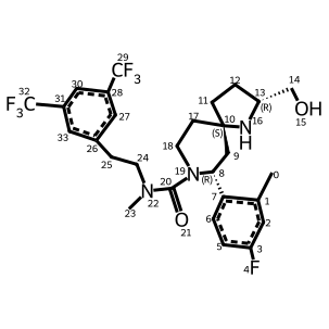 Cc1cc(F)ccc1[C@H]1C[C@]2(CC[C@H](CO)N2)CCN1C(=O)N(C)CCc1cc(C(F)(F)F)cc(C(F)(F)F)c1